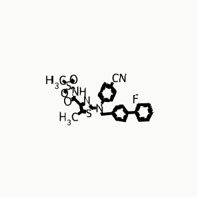 Cc1sc(N(Cc2ccc(-c3ccccc3F)cc2)c2ccc(C#N)cc2)nc1C(=O)NS(C)(=O)=O